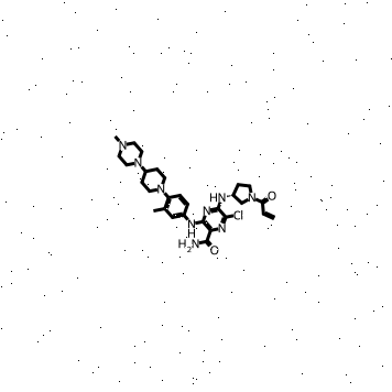 C=CC(=O)N1CC[C@@H](Nc2nc(Nc3ccc(N4CCC(N5CCN(C)CC5)CC4)c(C)c3)c(C(N)=O)nc2Cl)C1